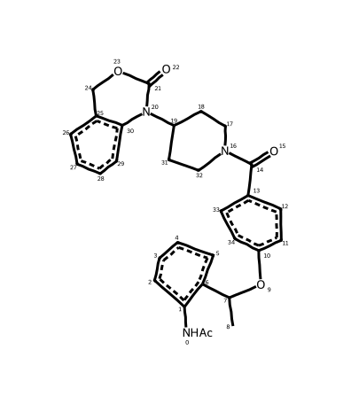 CC(=O)Nc1ccccc1C(C)Oc1ccc(C(=O)N2CCC(N3C(=O)OCc4ccccc43)CC2)cc1